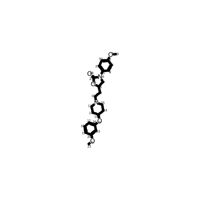 COc1ccc(N2CC(CCN3CCC(Oc4cccc(OC)c4)CC3)OC2=O)cc1